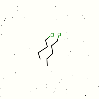 CCCCCCl.CCCCCl